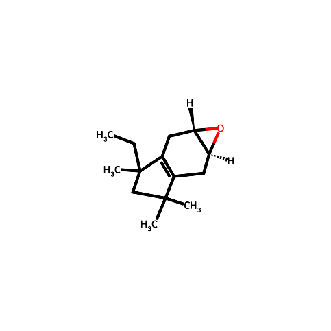 CCC1(C)CC(C)(C)C2=C1C[C@@H]1O[C@H]1C2